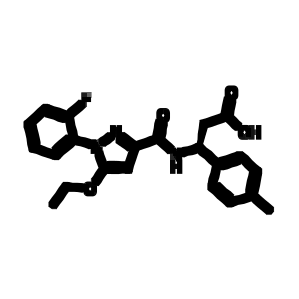 CCOc1cc(C(=O)N[C@@H](CC(=O)O)c2ccc(C)cc2)nn1-c1ccccc1F